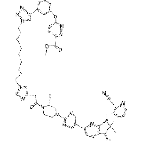 COC(=O)c1ccc(Oc2cccc(-c3cn(CCCCCCCCCn4cc(CC(=O)N5CCN(c6ncc(-c7ccc8c(n7)N(Cc7cccnc7C#N)C(C)(C)C8=O)cn6)C[C@H]5C)nn4)nn3)c2)nc1